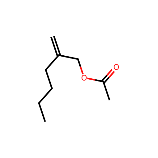 C=C(CCCC)COC(C)=O